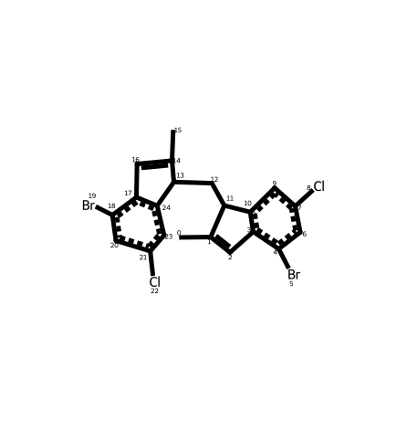 CC1=Cc2c(Br)cc(Cl)cc2C1CC1C(C)=Cc2c(Br)cc(Cl)cc21